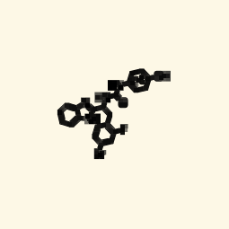 O=C(NC(Cc1ccc(Br)cc1F)c1nc2ccccc2[nH]1)NC12CCC(O)(CC1)CC2